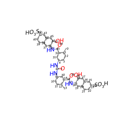 Cc1ccc(NC(=O)Nc2ccc(C)c(C(=O)Nc3cc4ccc(S(=O)(=O)O)cc4cc3O)c2)cc1C(=O)Nc1cc2ccc(S(=O)(=O)O)cc2cc1O